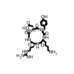 N=C(N)NCCC[C@@H]1NC(=O)C(CCCCN)NC(=O)[C@@H](Cc2ccc(O)cc2)NC(=O)[C@H](CC(=O)O)NC(=O)CNC1=O